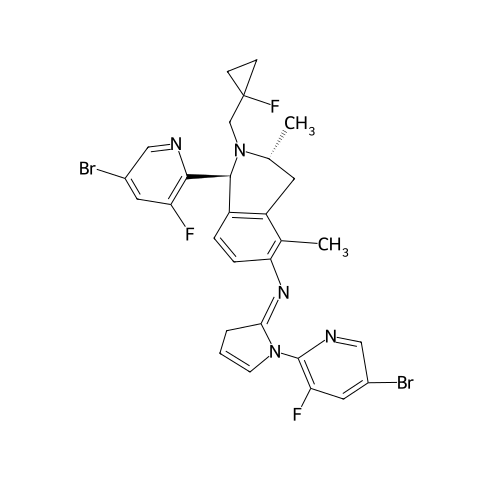 Cc1c(N=C2CC=CN2c2ncc(Br)cc2F)ccc2c1C[C@@H](C)N(CC1(F)CC1)[C@@H]2c1ncc(Br)cc1F